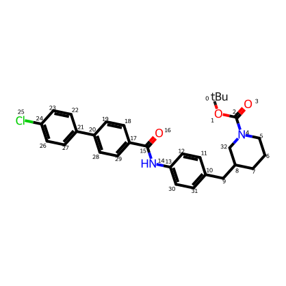 CC(C)(C)OC(=O)N1CCCC(Cc2ccc(NC(=O)c3ccc(-c4ccc(Cl)cc4)cc3)cc2)C1